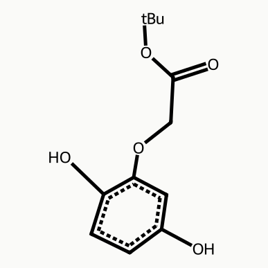 CC(C)(C)OC(=O)COc1cc(O)ccc1O